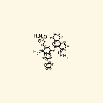 C=C1C(CCS(N)(=O)=O)=CC(C[C@H](OC2CCOCC2)c2ccccc2OC)=C2SC(c3ncco3)=CN12